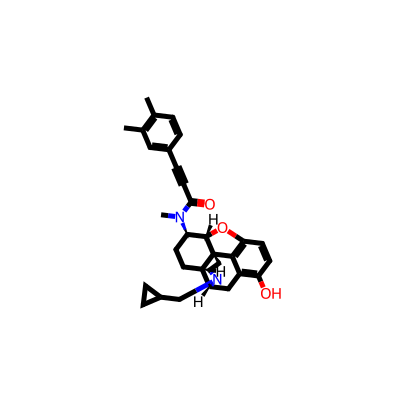 Cc1ccc(C#CC(=O)N(C)[C@@H]2CC[C@H]3[C@H]4Cc5c(O)ccc6c5[C@@]3(CCN4CC3CC3)[C@H]2O6)cc1C